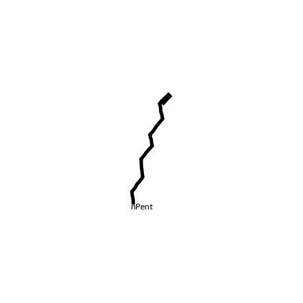 C=CCCCCCCCCCCC